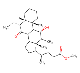 CC[C@H]1C(=O)C2C3CCC([C@H](C)CCC(=O)OC)[C@@]3(C)C(C)[C@H](O)C2[C@@]2(C)CCCC[C@@H]12